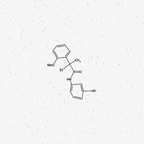 CCCc1cccc(NC(=O)C(C)(CC)c2ccccc2OC)c1